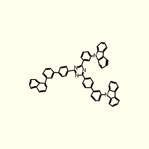 c1ccc2c(c#1)c1ccccc1n2-c1cccc(-c2nc(-c3ccc(-c4cccc(-c5cccc6ccccc56)c4)cc3)nc(-c3ccc(-c4cccc(-n5c6ccccc6c6ccccc65)c4)cc3)n2)c1